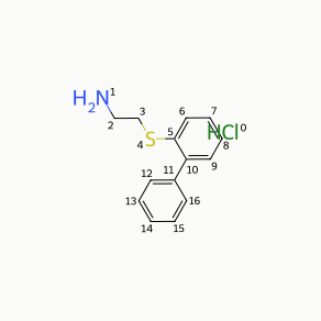 Cl.NCCSc1ccccc1-c1ccccc1